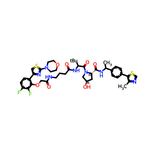 Cc1ncsc1-c1ccc(C(C)NC(=O)[C@@H]2C[C@@H](O)CN2C(=O)C(NC(=O)CCCNC(=O)COc2c(-c3csc(N4CCOCC4)n3)ccc(F)c2F)C(C)(C)C)cc1